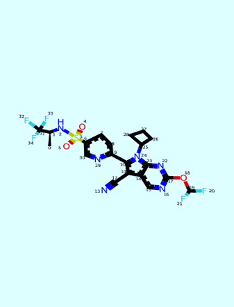 C[C@H](NS(=O)(=O)c1ccc(-c2c(C#N)c3cnc(OC(F)F)nc3n2C2CCC2)nc1)C(F)(F)F